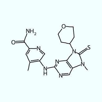 Cc1cc(C(N)=O)ncc1Nc1ncc2c(n1)n(C1CCOCC1)c(=S)n2C